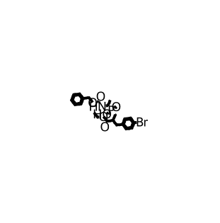 CCOC(=O)C(Cc1ccc(Br)cc1)CP(=O)(O)C(C)NC(=O)OCc1ccccc1